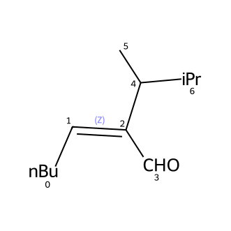 CCCC/C=C(\C=O)C(C)C(C)C